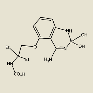 CCC(CC)(COc1cccc2c1C(N)=NS(O)(O)N2)NC(=O)O